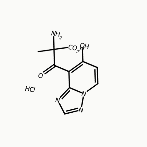 CC(N)(C(=O)O)C(=O)c1c(O)ccn2ncnc12.Cl